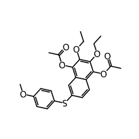 CCOc1c(OCC)c(OC(C)=O)c2cc(Sc3ccc(OC)cc3)ccc2c1OC(C)=O